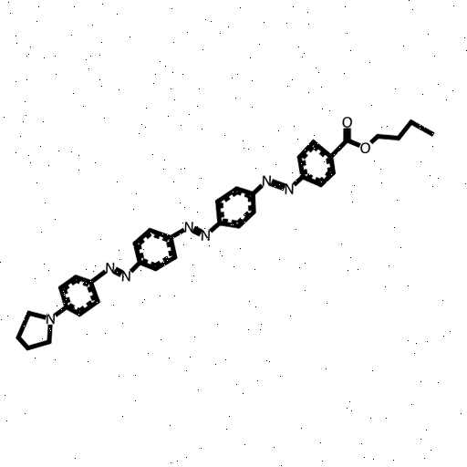 CCCCOC(=O)c1ccc(N=Nc2ccc(N=Nc3ccc(N=Nc4ccc(N5CCCC5)cc4)cc3)cc2)cc1